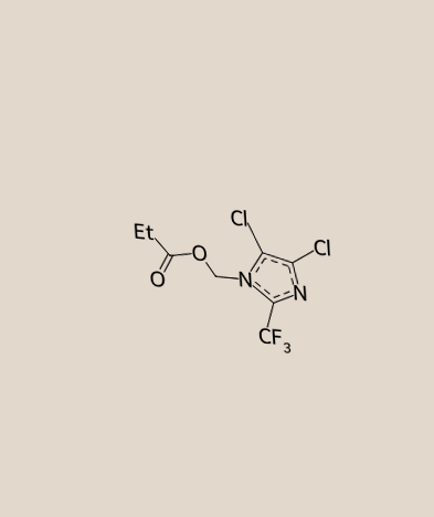 CCC(=O)OCn1c(C(F)(F)F)nc(Cl)c1Cl